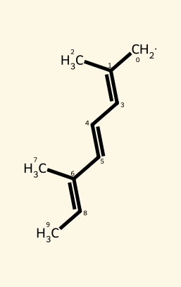 [CH2]/C(C)=C/C=C/C(C)=C/C